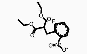 CCOC(=O)C(Cc1c(F)cccc1[N+](=O)[O-])C(=O)OCC